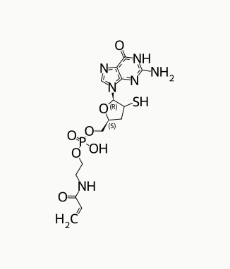 C=CC(=O)NCCOP(=O)(O)OC[C@@H]1CC(S)[C@H](n2cnc3c(=O)[nH]c(N)nc32)O1